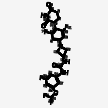 O=C1CC[C@H](c2c(F)cc(N3CC(NC(=O)Nc4cc(F)cc(OC(F)F)c4)C3)cc2F)C(=O)N1